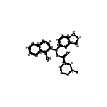 CC1CCCN(C(=O)CC(c2ccc3c(c2)OCO3)c2ccc3ccccc3c2O)C1